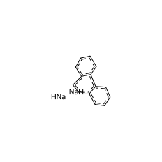 [NaH].[NaH].c1ccc2c(c1)ccc1ccccc12